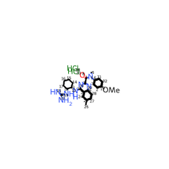 COc1ccc(N(C)C(=O)c2nc(N[C@H]3CCCC[C@H]3NC(=N)N)c3cc(C)ccc3n2)cc1.Cl.Cl